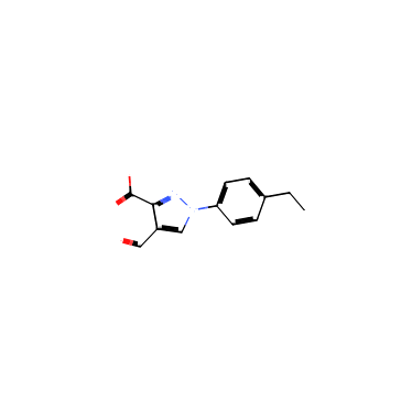 CCc1ccc(-n2cc(C=O)c(C(=O)O)n2)cc1